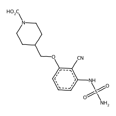 N#Cc1c(NS(N)(=O)=O)cccc1OCC1CCN(C(=O)O)CC1